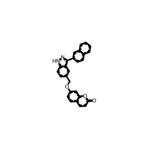 O=c1ccc2ccc(OCc3ccc4[nH]nc(-c5ccc6ccccc6c5)c4c3)cc2o1